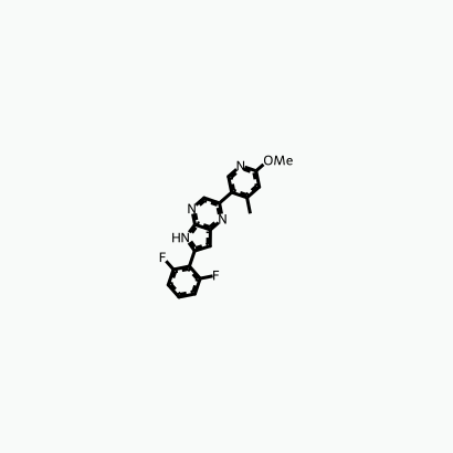 COc1cc(C)c(-c2cnc3[nH]c(-c4c(F)cccc4F)cc3n2)cn1